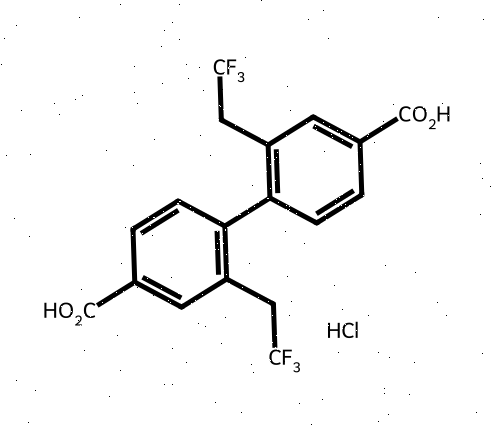 Cl.O=C(O)c1ccc(-c2ccc(C(=O)O)cc2CC(F)(F)F)c(CC(F)(F)F)c1